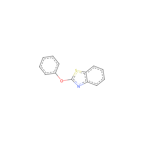 [c]1ccccc1Oc1nc2ccccc2s1